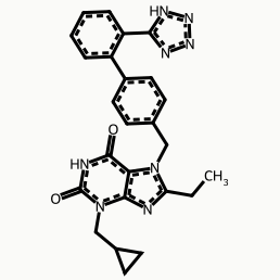 CCc1nc2c(c(=O)[nH]c(=O)n2CC2CC2)n1Cc1ccc(-c2ccccc2-c2nnn[nH]2)cc1